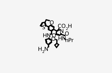 CCCNC(=O)c1ccc(-c2cc3c(cc2C(=O)Nc2ccc(CN)cc2OCC2CCC2)-c2sccc2CCO3)c(C(=O)O)n1